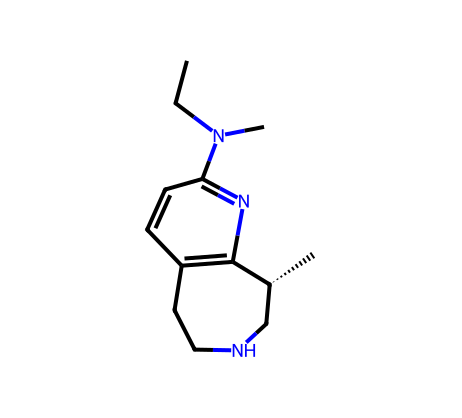 CCN(C)c1ccc2c(n1)[C@H](C)CNCC2